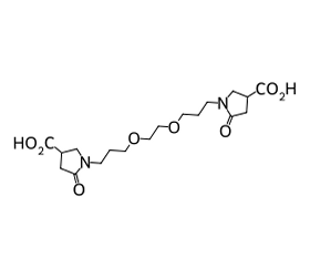 O=C(O)C1CC(=O)N(CCCOCCOCCCN2CC(C(=O)O)CC2=O)C1